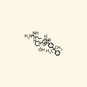 CC(C)(c1ccccc1)c1ccc(S(=O)(=O)N[C@@H](CCCNC(=N)N)C(=O)N2CCCC[C@H]2CO)cc1